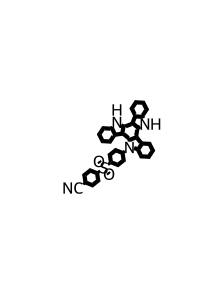 N#Cc1ccc(S(=O)(=O)c2ccc(-n3c4ccccc4c4c5[nH]c6ccccc6c5c5[nH]c6ccccc6c5c43)cc2)cc1